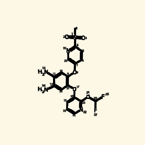 CS(=O)(=O)c1ccc(Oc2cc(N)c(N)cc2Oc2cccnc2OC(F)F)cn1